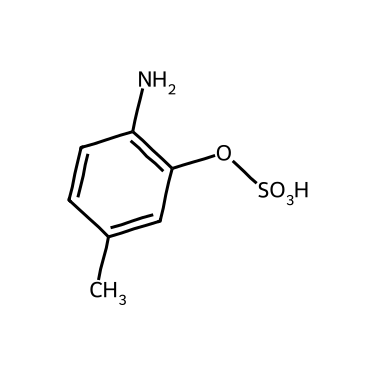 Cc1ccc(N)c(OS(=O)(=O)O)c1